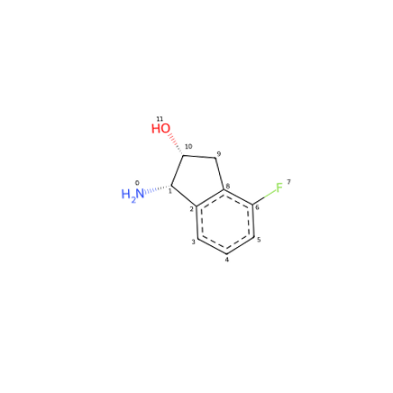 N[C@H]1c2cccc(F)c2C[C@H]1O